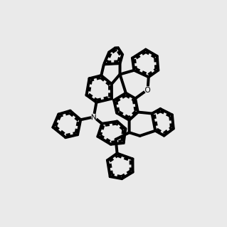 c1ccc(CC2Cc3ccccc3-c3c2ccc2c3Oc3ccccc3C23c2ccccc2-c2ccc(N(c4ccccc4)c4ccccc4)cc23)cc1